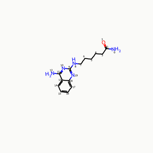 NC(=O)CCCCCNc1nc(N)c2ccccc2n1